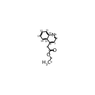 CCOC(=O)Cc1ccnc2ccccc12